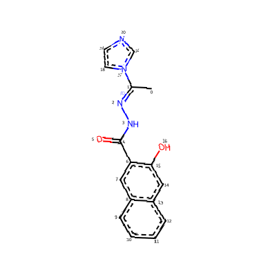 C/C(=N\NC(=O)c1cc2ccccc2cc1O)n1ccnc1